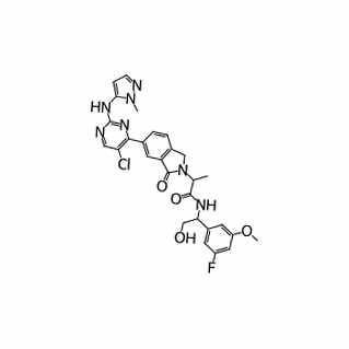 COc1cc(F)cc(C(CO)NC(=O)C(C)N2Cc3ccc(-c4nc(Nc5ccnn5C)ncc4Cl)cc3C2=O)c1